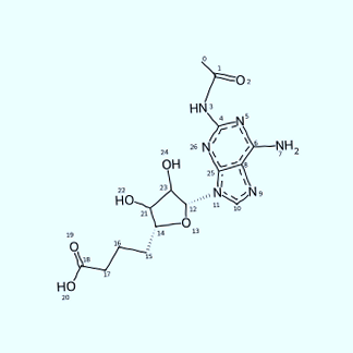 CC(=O)Nc1nc(N)c2ncn([C@@H]3O[C@H](CCCC(=O)O)C(O)C3O)c2n1